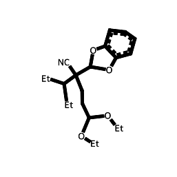 CCOC(CCC(C#N)(C(CC)CC)C1Oc2ccccc2O1)OCC